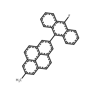 Cc1cc2ccc3cc(-c4c5ccccc5c(F)c5ccccc45)cc4ccc(c1)c2c34